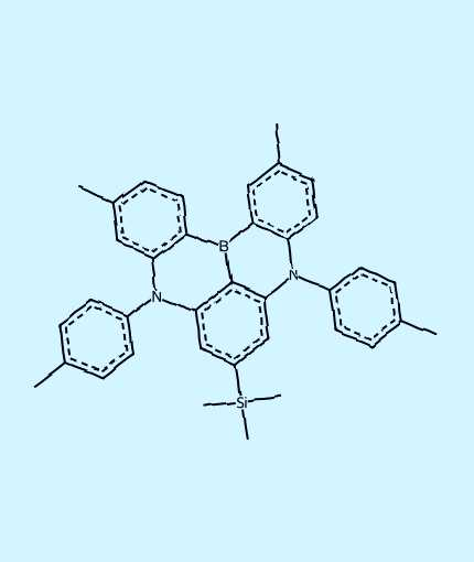 Cc1ccc(N2c3ccc(C)cc3B3c4ccc(C)cc4N(c4ccc(C)cc4)c4cc([Si](C)(C)C)cc2c43)cc1